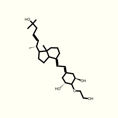 C[C@H](/C=C/CC(C)(C)O)C1CCC2/C(=C/C=C3C[C@@H](O)C(OCCO)[C@H](O)C3)CCCC21C